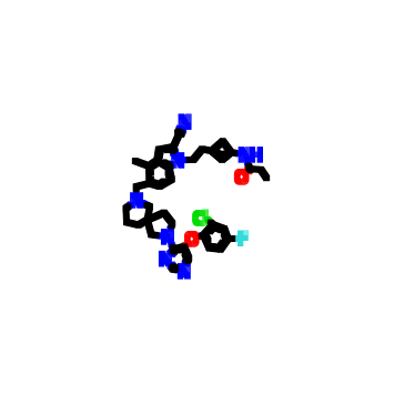 CCC(=O)NC12CC(CCn3c(C#N)cc4c(C)c(CN5CCCC6(CCN(c7ncncc7Oc7ccc(F)cc7Cl)C6)C5)ccc43)(C1)C2